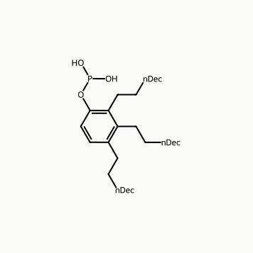 CCCCCCCCCCCCc1ccc(OP(O)O)c(CCCCCCCCCCCC)c1CCCCCCCCCCCC